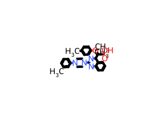 COc1ccc(C)cc1N1C(N2CCN(c3cccc(C)c3)CC2)=Nc2ccccc2C1C(C)C(=O)O